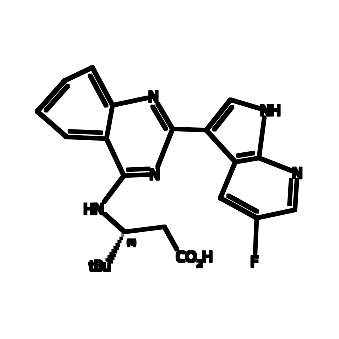 CC(C)(C)[C@@H](CC(=O)O)Nc1nc(-c2c[nH]c3ncc(F)cc23)nc2ccccc12